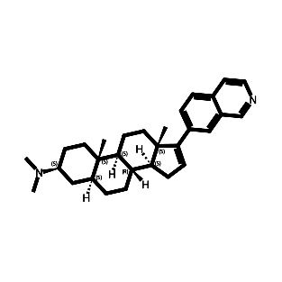 CN(C)[C@H]1CC[C@@]2(C)[C@@H](CC[C@@H]3[C@@H]2CC[C@]2(C)C(c4ccc5ccncc5c4)=CC[C@@H]32)C1